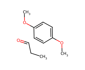 CCC=O.COc1ccc(OC)cc1